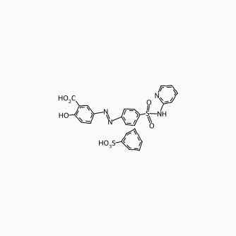 O=C(O)c1cc(N=Nc2ccc(S(=O)(=O)Nc3ccccn3)cc2)ccc1O.O=S(=O)(O)c1ccccc1